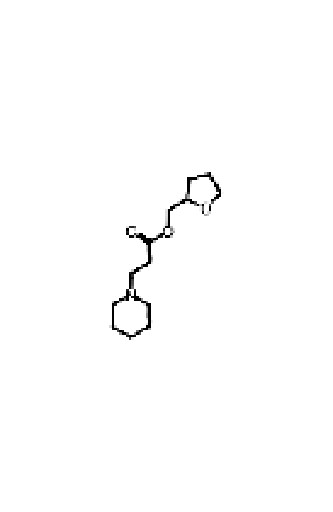 O=C(CCN1CCCCC1)OCC1CCCO1